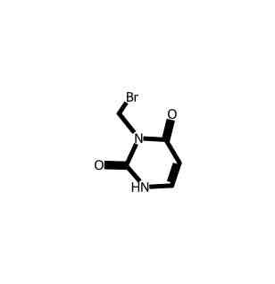 O=c1cc[nH]c(=O)n1CBr